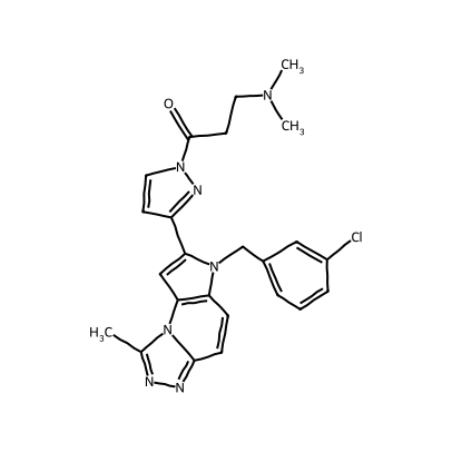 Cc1nnc2ccc3c(cc(-c4ccn(C(=O)CCN(C)C)n4)n3Cc3cccc(Cl)c3)n12